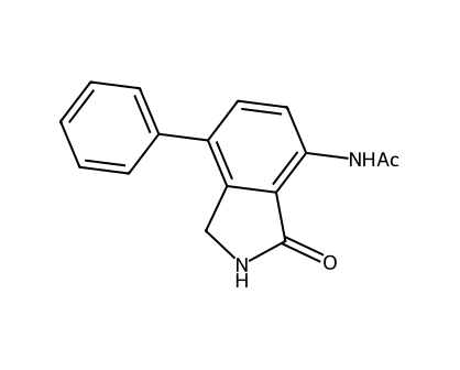 CC(=O)Nc1ccc(-c2ccccc2)c2c1C(=O)NC2